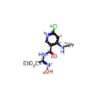 CCOC(=O)C(=NO)NC(=O)c1cnc(Cl)cc1NC(C)C